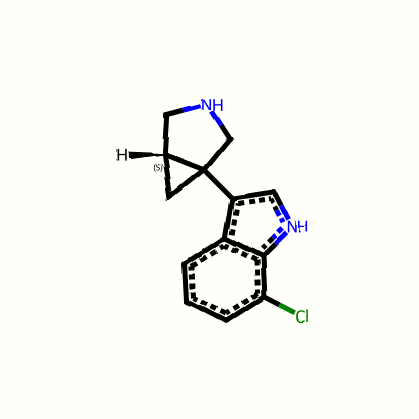 Clc1cccc2c(C34CNC[C@H]3C4)c[nH]c12